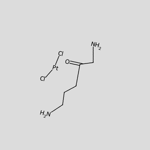 NCCCC(=O)CN.[Cl][Pt][Cl]